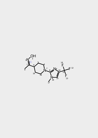 C/C(=N/O)C1CCN(c2nc(C(F)(F)F)cn2C)CC1